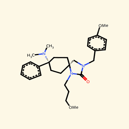 COCCCN1C(=O)N(Cc2ccc(OC)cc2)C[C@]12CC[C@@](c1ccccc1)(N(C)C)CC2